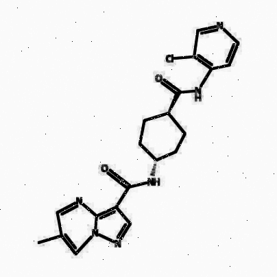 Cc1cnc2c(C(=O)N[C@H]3CC[C@H](C(=O)Nc4ccncc4Cl)CC3)cnn2c1